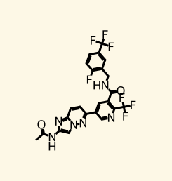 CC(=O)Nc1cn2nc(-c3cnc(C(F)(F)F)c(C(=O)NCc4cc(C(F)(F)F)ccc4F)c3)ccc2n1